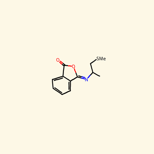 CSCC(C)/N=C1\OC(=O)c2ccccc21